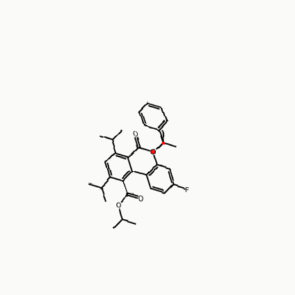 CC(C)OC(=O)c1c(C(C)C)cc(C(C)C)c(C(=O)OC(C)C)c1-c1ccc(F)cc1OCc1ccccc1